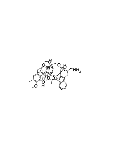 COc1c(C)cc2c(c1O)[C@H]1[C@@H]3[C@@H]4SC[C@]5(N[C@@H](CN)Cc6c5oc5ccccc65)C(=O)OC[C@@H](c5c6c(c(C)c(OC(C)=O)c54)OCO6)N3[C@@H](C)C(C2)N1C